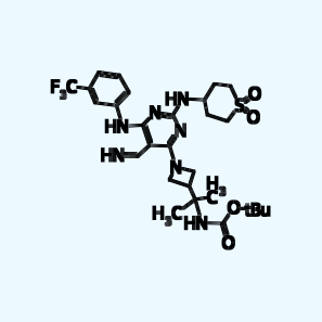 CC(C)(C)OC(=O)NC(C)(C)C1CN(c2nc(NC3CCS(=O)(=O)CC3)nc(Nc3cccc(C(F)(F)F)c3)c2C=N)C1